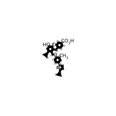 Cc1cc(-n2ccc(C3CC3)n2)ccc1OCc1c(Cc2ccc(C(=O)O)cc2C(=O)O)cccc1C1CC1